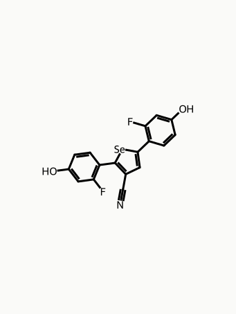 N#Cc1cc(-c2ccc(O)cc2F)[se]c1-c1ccc(O)cc1F